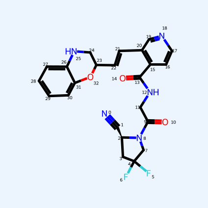 N#C[C@@H]1CC(F)(F)CN1C(=O)CNC(=O)c1ccncc1/C=C/C1CNc2ccccc2O1